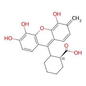 C=c1ccc2c(c1O)Oc1c(ccc(O)c1O)C=2C1CCCC[C@@H]1C(=O)O